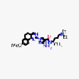 CCN(CC)CCCC(C)NC(=O)c1cn(-c2ncc3c(n2)-c2ccc(OC)cc2CC3)nc1N